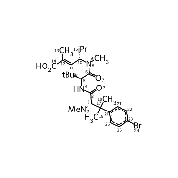 CN[C@H](C(=O)N[C@H](C(=O)N(C)[C@H](/C=C(\C)C(=O)O)C(C)C)C(C)(C)C)C(C)(C)c1ccc(Br)cc1